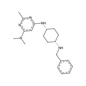 Cc1nc(N[C@H]2CC[C@@H](NCc3ccccc3)CC2)cc(N(C)C)n1